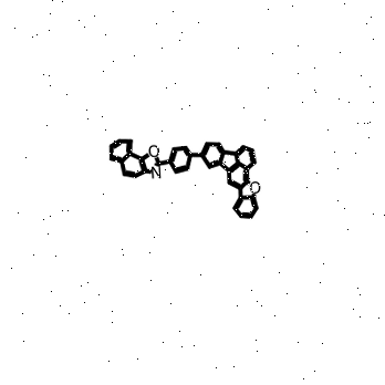 c1ccc2c(c1)ccc1nc(-c3ccc(-c4ccc5c(c4)-c4cc6c7ccccc7oc6c6cccc-5c46)cc3)oc12